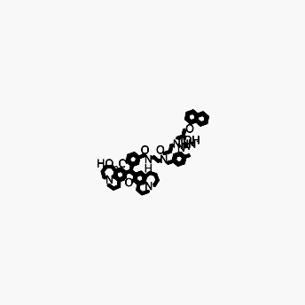 Cc1ccc(CN(CCNC(=O)c2ccc(C(=O)O)c(C3=c4cc5c6c(c4Oc4c3cc3c7c4CCCN7CCCC3)CCC[N+]=6CCCC5)c2)C(=O)CCNC[C@H](O)COc2cccc3ccccc23)cc1N=[N+]=[N-]